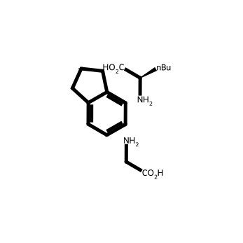 CCCC[C@@H](N)C(=O)O.NCC(=O)O.[CH]1Cc2ccccc2C1